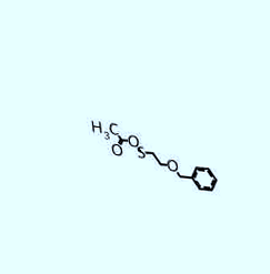 CC(=O)OSCCOCc1ccccc1